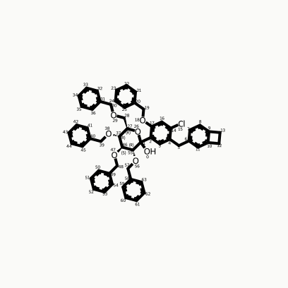 OC1(c2cc(Cc3ccc4c(c3)CC4)c(Cl)cc2OCc2ccccc2)O[C@H](COCc2ccccc2)[C@@H](OCc2ccccc2)[C@H](OCc2ccccc2)[C@H]1OCc1ccccc1